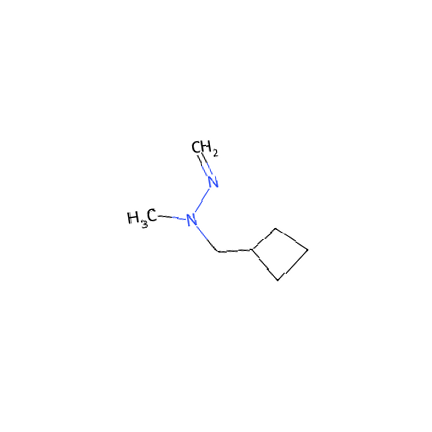 C=NN(C)CC1CCC1